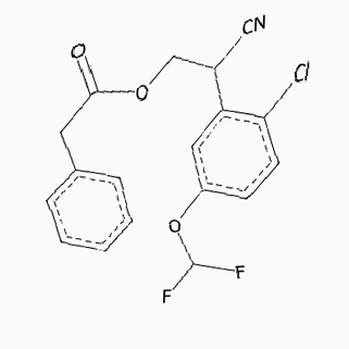 N#CC(COC(=O)Cc1ccccc1)c1cc(OC(F)F)ccc1Cl